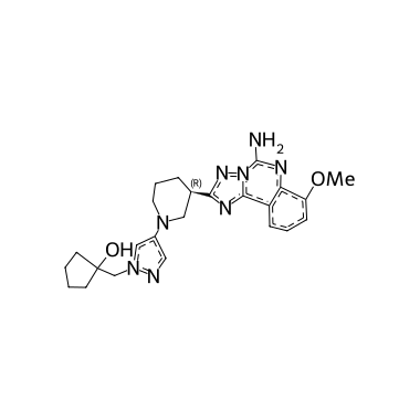 COc1cccc2c1nc(N)n1nc([C@@H]3CCCN(c4cnn(CC5(O)CCCC5)c4)C3)nc21